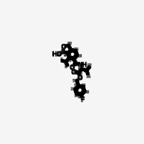 CC(C)c1c(C(=O)N[C@H](C(=O)OCc2ccc(F)cc2)C(C)C)ccc2c1B(O)OC2